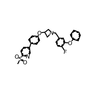 CS(=O)(=O)c1ccc(-c2ccc(OC3CN(Cc4ccc(F)c(Oc5ccccc5)c4)C3)cc2)cn1